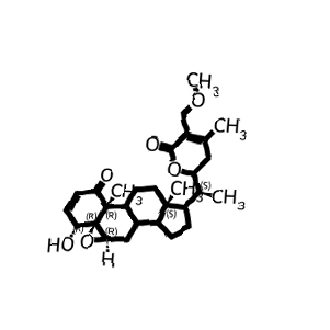 COCC1=C(C)CC([C@@H](C)C2CCC3C4C[C@H]5O[C@]56[C@H](O)C=CC(=O)[C@]6(C)C4CC[C@@]32C)OC1=O